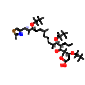 CCC[C@@H](C(=O)C(C)(C)[C@H](CC(=O)O)O[Si](C)(C)C(C)(C)C)[C@@H](O[Si](C)(C)C(C)(C)C)[C@@H](C)CCCC(C)=CC[C@H](O[Si](C)(C)C(C)(C)C)/C(C)=C/c1csc(C)n1